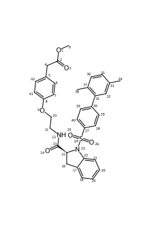 COC(=O)Cc1ccc(OCCNC(=O)[C@@H]2Cc3ccccc3N2S(=O)(=O)c2ccc(-c3cc(C)ccc3C)cc2)cc1